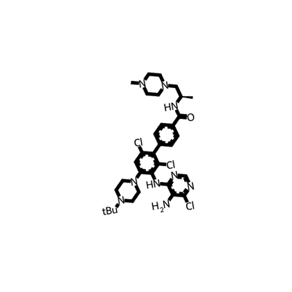 C[C@H](CN1CCN(C)CC1)NC(=O)c1ccc(-c2c(Cl)cc(N3CCN(C(C)(C)C)CC3)c(Nc3ncnc(Cl)c3N)c2Cl)cc1